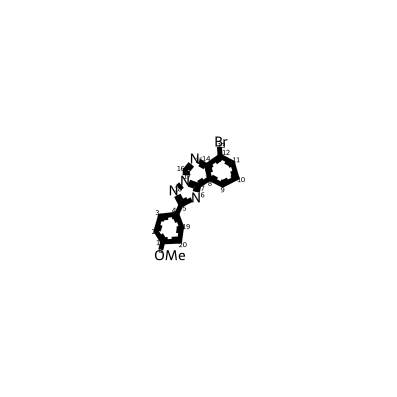 COc1ccc(-c2nc3c4cccc(Br)c4ncn3n2)cc1